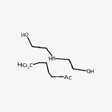 CC(=O)CCC(=O)O.OCCNCCO